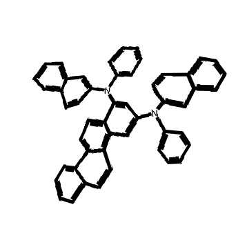 c1ccc(N(c2ccc3ccccc3c2)c2cc(N(c3ccccc3)c3ccc4ccccc4c3)c3ccc4c5ccccc5ccc4c3c2)cc1